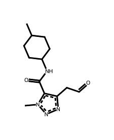 CC1CCC(NC(=O)c2c(CC=O)nnn2C)CC1